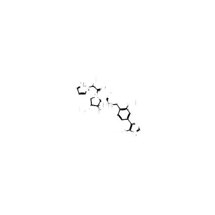 Cc1cc(-c2scnc2C)ccc1CNC(=O)[C@@H]1[C@@H](F)[C@@H](O)CN1C(=O)[C@H](C(C)C)n1cccn1